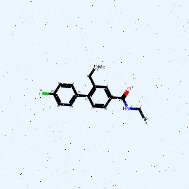 COCc1cc(C(=O)NCC(C)C)ccc1-c1ccc(Cl)cc1